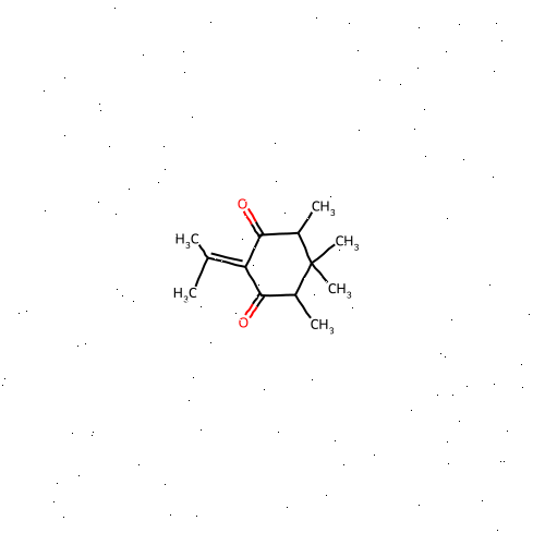 CC(C)=C1C(=O)C(C)C(C)(C)C(C)C1=O